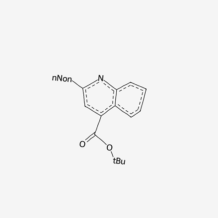 CCCCCCCCCc1cc(C(=O)OC(C)(C)C)c2ccccc2n1